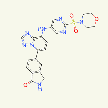 O=C1NCc2cc(-c3ccc(Nc4cnc(S(=O)(=O)N5CCOCC5)nc4)c4ncnn34)ccc21